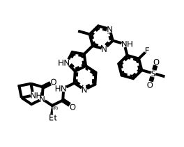 CC[C@H](C(=O)Nc1nccc2c(-c3nc(Nc4cccc(S(C)(=O)=O)c4F)ncc3C)c[nH]c12)N1CC2CC(N2)C1=O